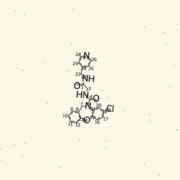 O=C(CNC(=O)N1Cc2ccccc2Oc2ccc(Cl)cc21)NCc1ccncc1